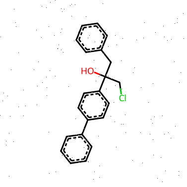 OC(CCl)(Cc1ccccc1)c1ccc(-c2ccccc2)cc1